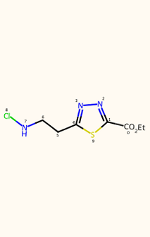 CCOC(=O)c1nnc(CCNCl)s1